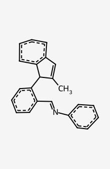 CC1=Cc2ccccc2C1c1ccccc1/C=N/c1ccccc1